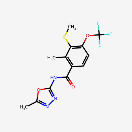 CSc1c(OC(F)(F)F)ccc(C(=O)Nc2nnc(C)o2)c1C